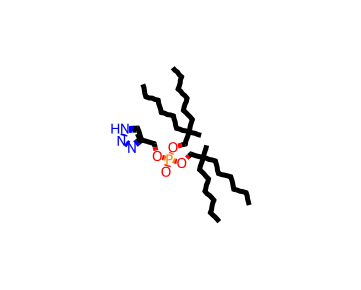 CCCCCCC(C)(CCCCCC)COP(=O)(OCc1c[nH]nn1)OCC(C)(CCCCCC)CCCCCC